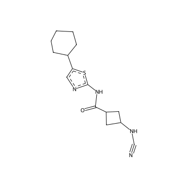 N#CNC1CC(C(=O)Nc2ncc(C3CCCCC3)s2)C1